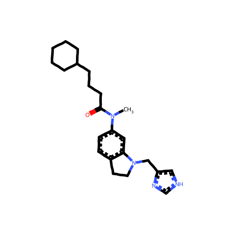 CN(C(=O)CCCC1CCCCC1)c1ccc2c(c1)N(Cc1c[nH]cn1)CC2